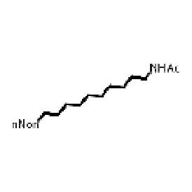 CCCCCCCCCCCCCCCCCCCNC(C)=O